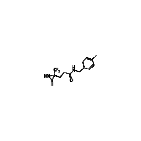 Cc1ccc(CNC(=O)CCC2(C(F)(F)F)NN2)cc1